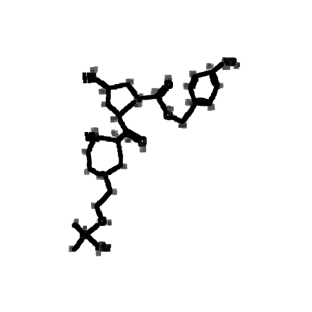 CC(C)(C)[Si](C)(C)OCCN1CCNC(C(=O)C2CC(S)CN2C(=O)OCc2ccc([N+](=O)[O-])cc2)C1